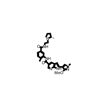 COc1nn(C)cc1-c1cc2cc(C(=O)Nc3cc(C(=O)NCCN4CCC[C@@H]4C)ccc3C)cnc2[nH]1